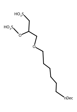 CCCCCCCCCCCCCCCCOCC(CS(=O)(=O)O)OS(=O)(=O)O